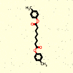 Cc1ccc(OC(=O)CCCCCCC(=O)Oc2ccc(C)cc2)cc1